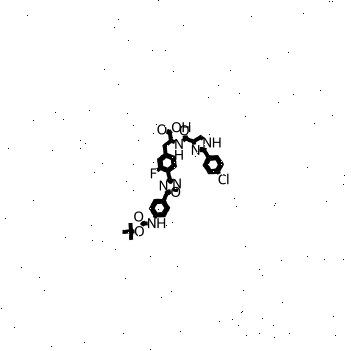 CC(C)(C)OC(=O)Nc1ccc(-c2nc(-c3ccc(CC(NC(=O)C4CNC(c5ccc(Cl)cc5)=N4)C(=O)O)cc3F)no2)cc1